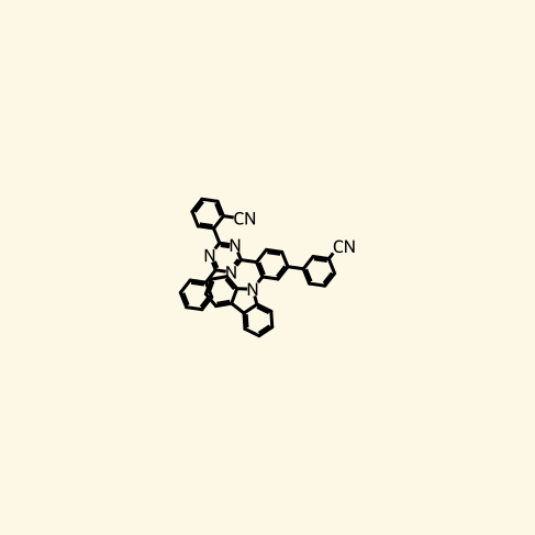 N#Cc1cccc(-c2ccc(-c3nc(-c4ccccc4)nc(-c4ccccc4C#N)n3)c(-n3c4ccccc4c4ccccc43)c2)c1